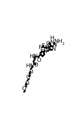 CCOCCOCCOCCOCCNC(=O)CC[C@@H](C)NC(=O)c1ccc(N(Cc2cnc3nc(N)[nH]c(=O)c3n2)C(=O)C(F)(F)F)cc1